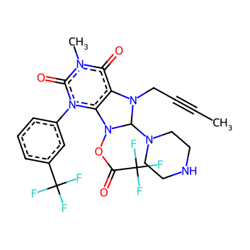 CC#CCN1c2c(n(-c3cccc(C(F)(F)F)c3)c(=O)n(C)c2=O)N(OC(=O)C(F)(F)F)C1N1CCNCC1